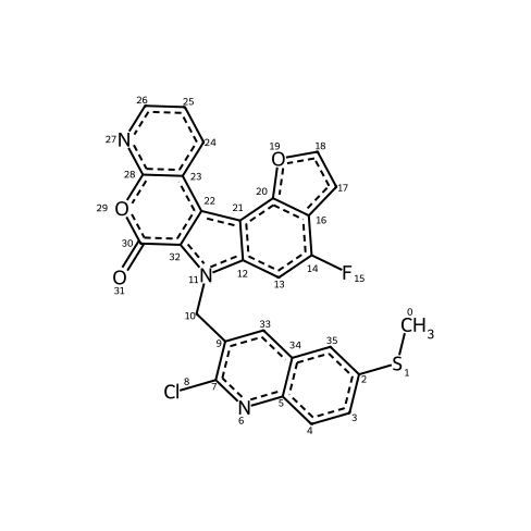 CSc1ccc2nc(Cl)c(Cn3c4cc(F)c5ccoc5c4c4c5cccnc5oc(=O)c43)cc2c1